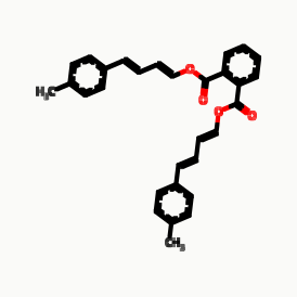 Cc1ccc(C=CC=COC(=O)c2ccccc2C(=O)OC=CC=Cc2ccc(C)cc2)cc1